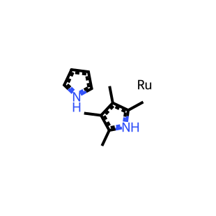 Cc1[nH]c(C)c(C)c1C.[Ru].c1cc[nH]c1